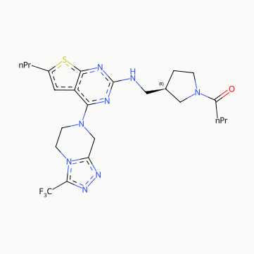 CCCC(=O)N1CC[C@H](CNc2nc(N3CCn4c(nnc4C(F)(F)F)C3)c3cc(CCC)sc3n2)C1